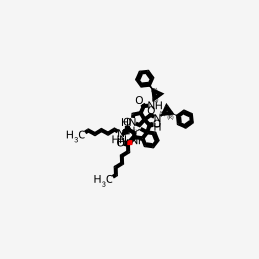 CCCCCCNC(=O)[C@H](CC1(C(=O)C2(C(=O)N[C@H]3C[C@@H]3c3ccccc3)CNCC2C(=O)N[C@H]2C[C@@H]2c2ccccc2)C=CC=CC1c1c[nH]cn1)NC(=O)CCCCCC